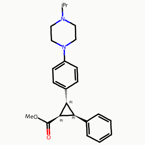 COC(=O)[C@@H]1[C@H](c2ccccc2)[C@H]1c1ccc(N2CCN(C(C)C)CC2)cc1